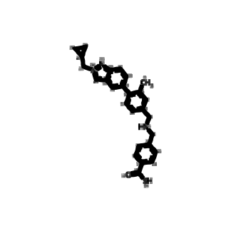 Cc1cc(CNCc2ccc(C(=O)S)cc2)ccc1-c1ccc2nn(CC3CC3)cc2c1